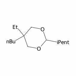 CCCCC1(CC)COC(C(C)CCC)OC1